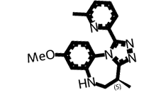 COc1ccc2c(c1)NC[C@H](C)c1nnc(-c3cccc(C)n3)n1-2